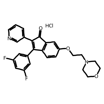 Cl.O=C1C(c2cccnc2)=C(c2cc(F)cc(F)c2)c2ccc(OCCN3CCOCC3)cc21